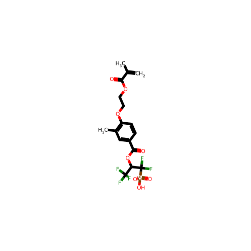 C=C(C)C(=O)OCCOc1ccc(C(=O)OC(C(F)(F)F)C(F)(F)S(=O)(=O)O)cc1C